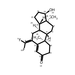 C[C@]12CC[C@H]3[C@@H](CC(=C(F)F)C4=CC(=O)CC[C@@]43C)[C@@H]1CC[C@H]2O